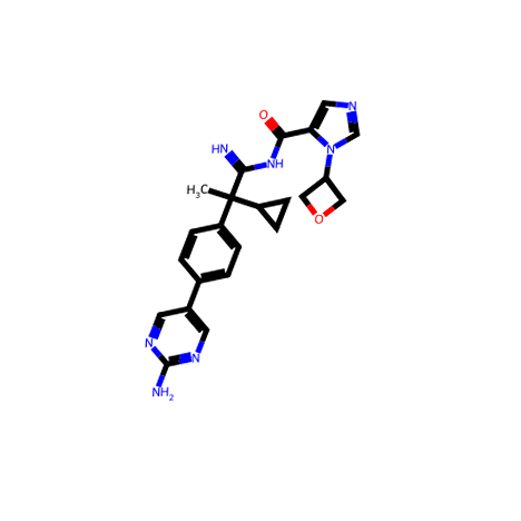 CC(C(=N)NC(=O)c1cncn1C1COC1)(c1ccc(-c2cnc(N)nc2)cc1)C1CC1